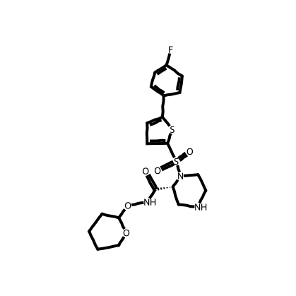 O=C(NOC1CCCCO1)[C@H]1CNCCN1S(=O)(=O)c1ccc(-c2ccc(F)cc2)s1